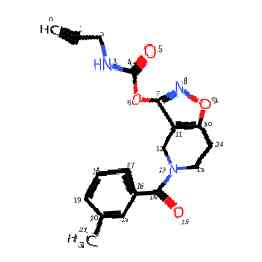 C#CCNC(=O)Oc1noc2c1CN(C(=O)c1cccc(C)c1)CC2